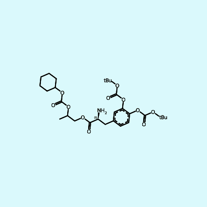 CC(COC(=O)[C@@H](N)Cc1ccc(OC(=O)OC(C)(C)C)c(OC(=O)OC(C)(C)C)c1)OC(=O)OC1CCCCC1